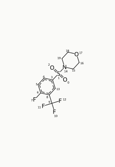 O=S(=O)(c1ccc(F)c(C(F)(F)F)c1)N1CCOCC1